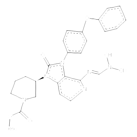 CN(C)C=Nc1nccc2c1n(-c1ccc(Oc3ccccc3)cc1)c(=O)n2[C@@H]1CCCN(C(=O)OC(C)(C)C)C1